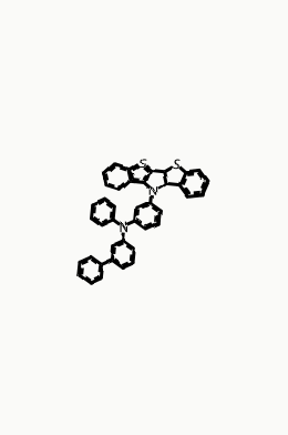 c1ccc(-c2cccc(N(c3ccccc3)c3cccc(N4c5c(sc6ccccc56)C5Sc6ccccc6C54)c3)c2)cc1